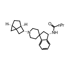 CCCC(=O)N[C@H]1CC2(CCN([C@@H]3CC45C[C@H]4CC[C@@H]35)CC2)c2ccccc21